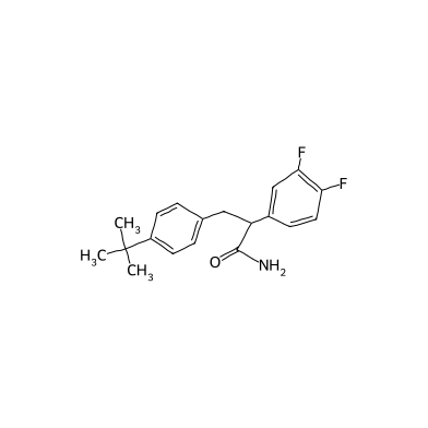 CC(C)(C)c1ccc(CC(C(N)=O)c2ccc(F)c(F)c2)cc1